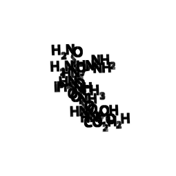 CC(C)[C@H](NC(=O)[C@H](CCCNC(=N)N)NC(=O)[C@@H](N)CCC(N)=O)C(=O)N[C@@H](C)C(=O)NCC(=O)N[C@@H](CC(=O)O)C(=O)N[C@@H](CO)C(=O)O